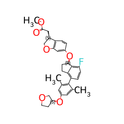 COC(=O)C[C@@H]1COc2cc(O[C@@H]3CCc4c(-c5c(C)cc(O[C@H]6CCOC6)cc5C)ccc(F)c43)ccc21